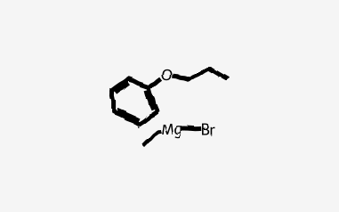 CCCOc1c[c]ccc1.C[CH2][Mg][Br]